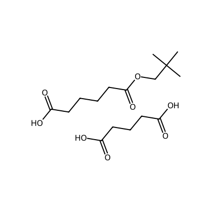 CC(C)(C)COC(=O)CCCCC(=O)O.O=C(O)CCCC(=O)O